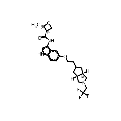 C[C@@H]1OC[C@H]1C(=O)Nc1c[nH]c2ccc(OCCC3C[C@@H]4CN(CC(F)(F)F)C[C@@H]4C3)cc12